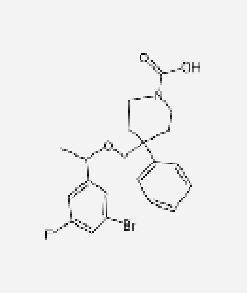 CC(OCC1(c2ccccc2)CCN(C(=O)O)CC1)c1cc(F)cc(Br)c1